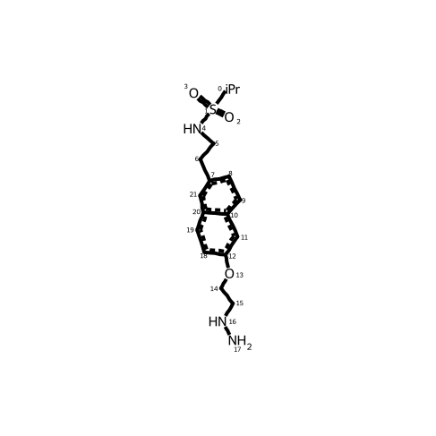 CC(C)S(=O)(=O)NCCc1ccc2cc(OCCNN)ccc2c1